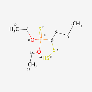 CCCC(SS)P(=S)(OCC)OCC